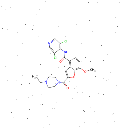 CCN1CCN(C(=O)c2cc3c(C(=O)Nc4c(Cl)cncc4Cl)ccc(OC)c3o2)CC1